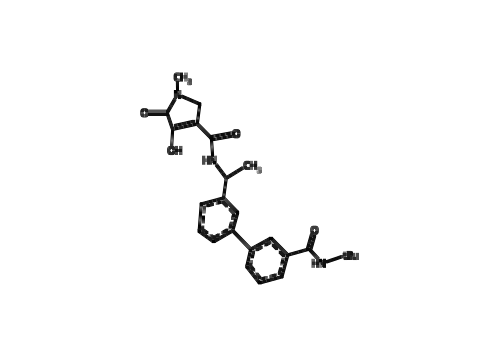 CC(NC(=O)C1=C(O)C(=O)N(C)C1)c1cccc(-c2cccc(C(=O)NC(C)(C)C)c2)c1